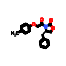 Cc1ccc(OCC(=O)N2C(=O)OC[C@@H]2Cc2ccccc2)cc1